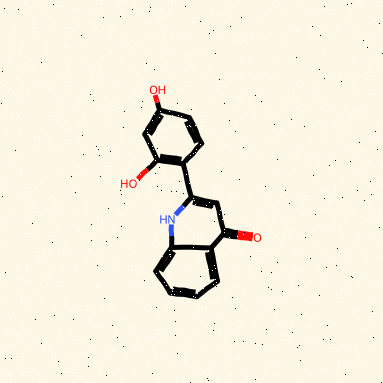 O=c1cc(-c2ccc(O)cc2O)[nH]c2ccccc12